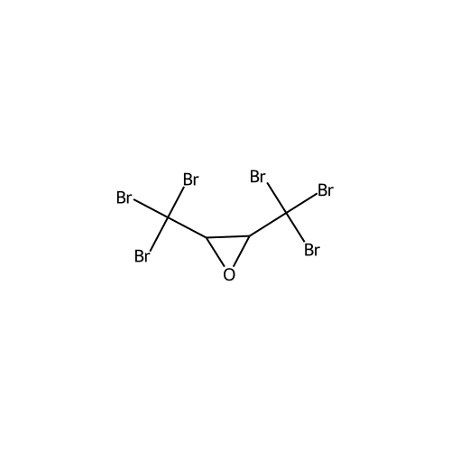 BrC(Br)(Br)C1OC1C(Br)(Br)Br